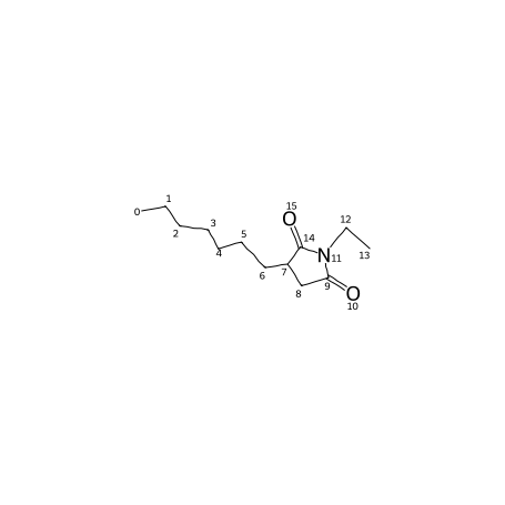 CCCCCCCC1CC(=O)N(CC)C1=O